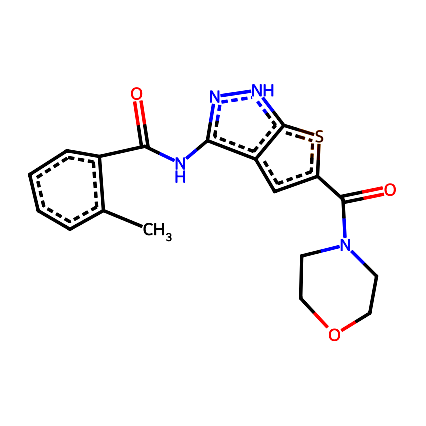 Cc1ccccc1C(=O)Nc1n[nH]c2sc(C(=O)N3CCOCC3)cc12